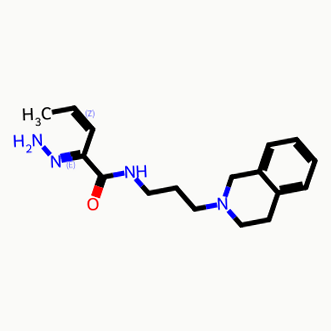 C/C=C\C(=N/N)C(=O)NCCCN1CCc2ccccc2C1